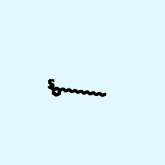 CCCCCCCCCCCCCCCc1cccc(C=S)c1